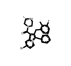 Cc1c(F)cccc1Cc1c(C(=O)N2CCN[C@@H](C)C2)c2cc(Br)ccn2c1-c1ccccc1